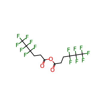 O=C(CCC(F)(F)C(F)(F)C(F)(F)F)OC(=O)CCC(F)(F)C(F)(F)C(F)(F)F